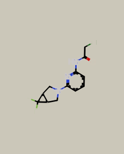 O=C(CCl)Nc1cccc(N2CC3C(C2)C3(F)F)n1